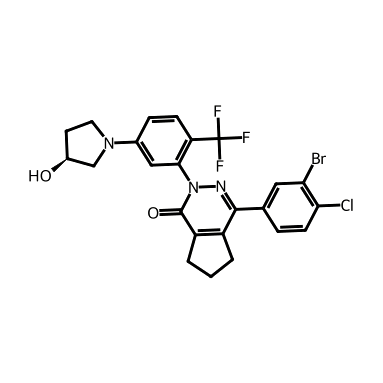 O=c1c2c(c(-c3ccc(Cl)c(Br)c3)nn1-c1cc(N3CC[C@H](O)C3)ccc1C(F)(F)F)CCC2